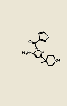 CC1(c2cc(N)n(C(=O)c3ccsc3)n2)CCNCC1